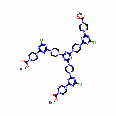 CC(C)(C)OC(=O)N1CCN(c2nc(Cl)nc(N3CCN(c4nc(N5CCN(c6nc(Cl)nc(N7CCN(C(=O)OC(C)(C)C)CC7)n6)CC5)nc(N5CCN(c6nc(Cl)nc(N7CCN(C(=O)OC(C)(C)C)CC7)n6)CC5)n4)CC3)n2)CC1